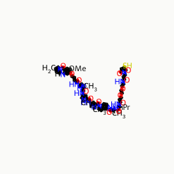 C=C1C[C@H]2C=Nc3cc(OCCCC(=O)Nc4cn(C)c(C(=O)Nc5cc(C(=O)Nc6cc(C(=O)n7ccc8cc(NC(=O)[C@H](C)NC(=O)[C@@H](NC(=O)CCOCCOCCNC(=O)CCN9C(=O)CC(S)C9=O)C(C)C)ccc87)n(C)c6)n(C)c5)n4)c(OC)cc3C(=O)N2C1